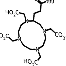 CC(C)(C)C(=O)CCC1CN(CC(=O)O)CCN(CC(=O)O)CCN(CC(=O)O)CCN1CC(=O)O